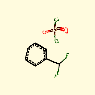 FC(F)c1ccccc1.O=S(=O)(Cl)Cl